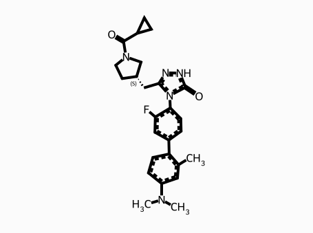 Cc1cc(N(C)C)ccc1-c1ccc(-n2c(C[C@@H]3CCN(C(=O)C4CC4)C3)n[nH]c2=O)c(F)c1